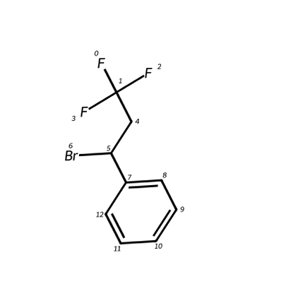 FC(F)(F)CC(Br)c1ccccc1